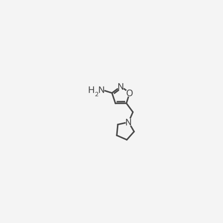 Nc1cc(CN2CCCC2)on1